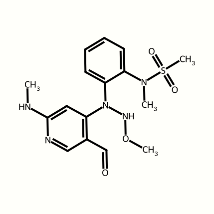 CNc1cc(N(NOC)c2ccccc2N(C)S(C)(=O)=O)c(C=O)cn1